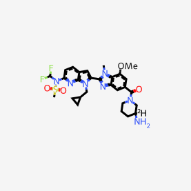 [2H][C@@]1(N)CCCN(C(=O)c2cc(OC)c3c(c2)nc(-c2cc4ccc(N(C(F)F)S(C)(=O)=O)nc4n2CC2CC2)n3C)C1